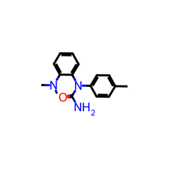 Cc1ccc(N(C(N)=O)c2ccccc2N(C)C)cc1